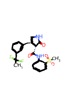 CC(F)(F)c1cccc([C@H]2CNC(=O)[C@@H]2C(=O)Nc2ccccc2S(C)(=O)=O)c1